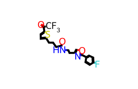 O=C(CCCc1ccc(C(=O)C(F)(F)F)s1)NCCc1coc(-c2ccc(F)cc2)n1